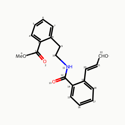 COC(=O)c1ccccc1CCNC(=O)c1ccccc1/C=C/[C]=O